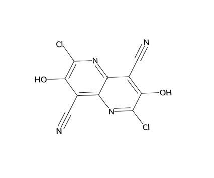 N#Cc1c(O)c(Cl)nc2c(C#N)c(O)c(Cl)nc12